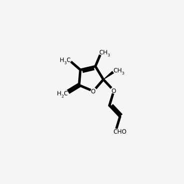 C=C1O[C@@](C)(O/C=C/C=O)C(C)=C1C